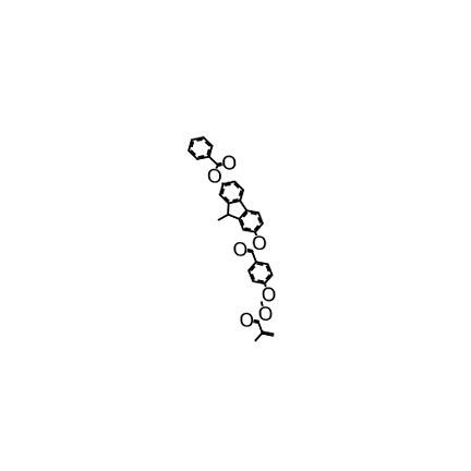 C=C(C)C(=O)OCOc1ccc(C(=O)Oc2ccc3c(c2)C(C)c2cc(OC(=O)c4ccccc4)ccc2-3)cc1